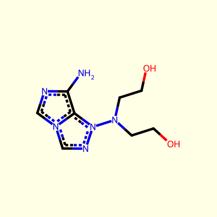 Nc1ncn2cnn(N(CCO)CCO)c12